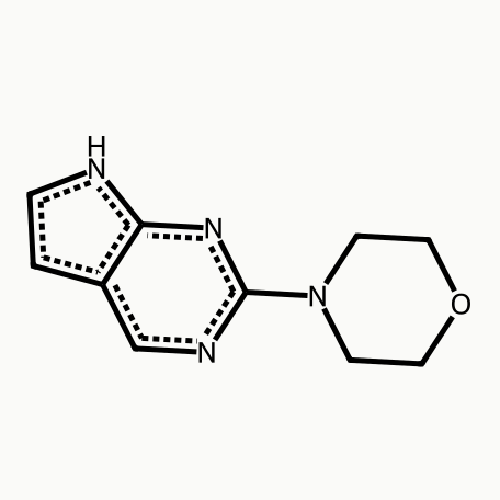 c1cc2cnc(N3CCOCC3)nc2[nH]1